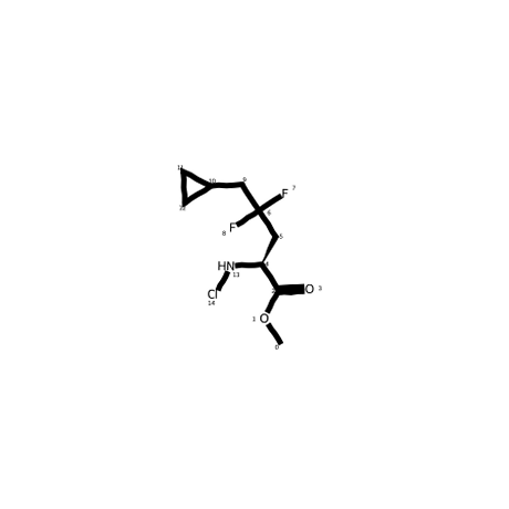 COC(=O)[C@H](CC(F)(F)CC1CC1)NCl